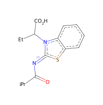 CCC(C(=O)O)n1/c(=N/C(=O)C(C)C)sc2ccccc21